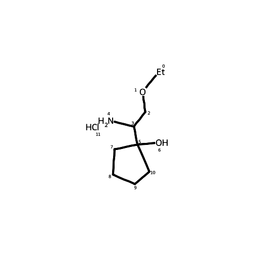 CCOCC(N)C1(O)CCCC1.Cl